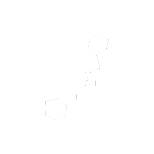 B(OCC1CCCCC1)OCC1CCCCC1